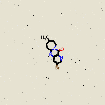 CC1CCc2nc3cc(Br)cnc3c(=O)n2CC1